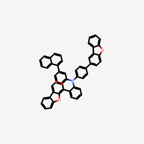 c1cc(-c2cccc3ccccc23)cc(N(c2ccc(-c3ccc4oc5ccccc5c4c3)cc2)c2ccccc2-c2cccc3c2oc2ccccc23)c1